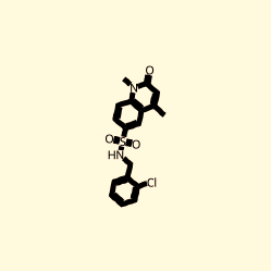 Cc1cc(=O)n(C)c2ccc(S(=O)(=O)NCc3ccccc3Cl)cc12